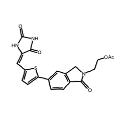 CC(=O)OCCN1Cc2cc(-c3ccc(C=C4NC(=O)NC4=O)s3)ccc2C1=O